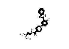 CN(C)CCNC(=O)C1CCN(c2ccc(Cl)c(-c3nc4ccccc4[nH]3)c2)CC1